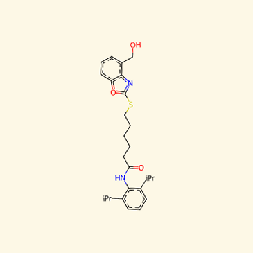 CC(C)c1cccc(C(C)C)c1NC(=O)CCCCCSc1nc2c(CO)cccc2o1